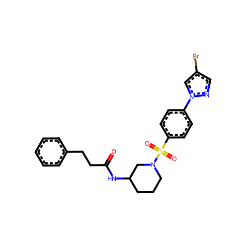 O=C(CCc1ccccc1)NC1CCCN(S(=O)(=O)c2ccc(-n3cc(Br)cn3)cc2)C1